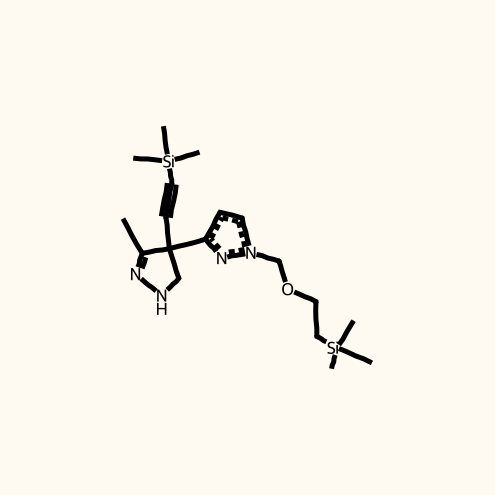 CC1=NNCC1(C#C[Si](C)(C)C)c1ccn(COCC[Si](C)(C)C)n1